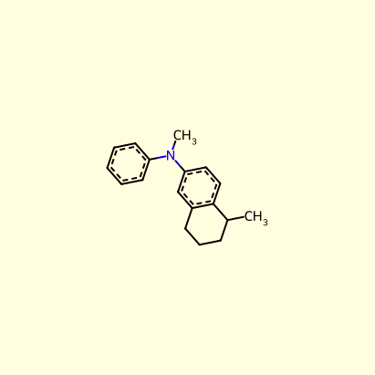 CC1CCCc2cc(N(C)c3ccccc3)ccc21